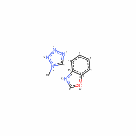 Cn1cnnn1.c1ccc2ocnc2c1